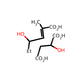 CCC(O)C=C(C)C(=O)O.O=C(O)CC(O)C(=O)O